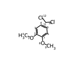 COc1ccccc1OC.ClCCl